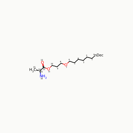 CCCCCCCCCCCCCCCCOCCCOC(=O)[C@H](C)N